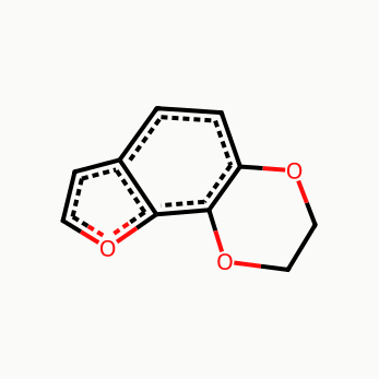 c1cc2ccc3c(c2o1)OCCO3